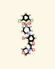 O=C(c1cc2c(Br)c(N3CCCN(S(=O)(=O)c4c(Cl)cccc4Cl)CC3)ccc2o1)N1CCOCC1